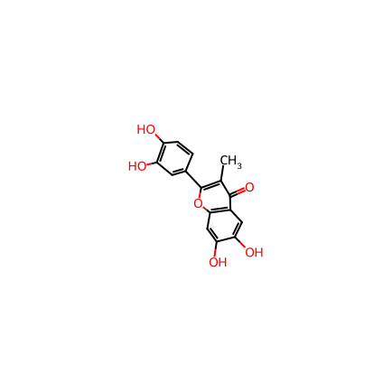 Cc1c(-c2ccc(O)c(O)c2)oc2cc(O)c(O)cc2c1=O